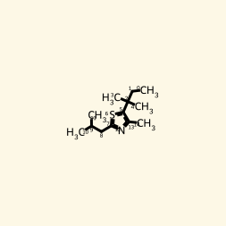 CCC(C)(C)c1sc(CC(C)C)nc1C